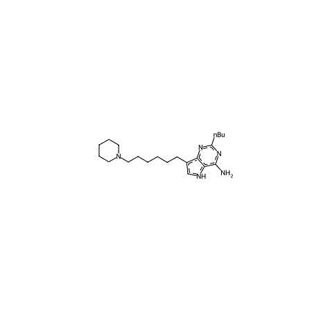 CCCCc1nc(N)c2[nH]cc(CCCCCCN3CCCCC3)c2n1